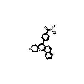 CCN(CC)C(=O)c1ccc(C2=CC3(CCNCC3)Oc3c2ccc2ccccc32)cc1